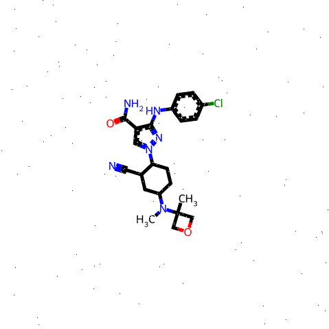 CN(C1CCC(n2cc(C(N)=O)c(Nc3ccc(Cl)cc3)n2)C(C#N)C1)C1(C)COC1